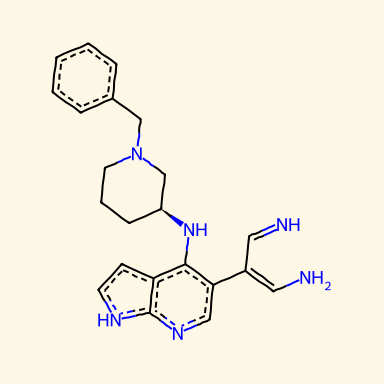 N=C/C(=C\N)c1cnc2[nH]ccc2c1N[C@H]1CCCN(Cc2ccccc2)C1